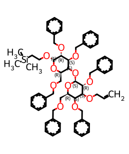 C=CCO[C@H]1[C@@H](OCc2ccccc2)[C@@H](COCc2ccccc2)O[C@@H](O[C@@H]2[C@H](OCc3ccccc3)[C@@H](OCc3ccccc3)[C@@H](OCC[Si](C)(C)C)O[C@@H]2COCc2ccccc2)[C@@H]1OCc1ccccc1